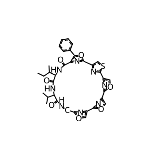 CCC(C)C1NC(=O)c2nc(oc2-c2ccccc2)-c2csc(n2)-c2coc(n2)-c2coc(n2)-c2coc(n2)CNC(=O)C(C(C)C)NC1=O